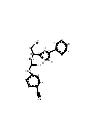 N#Cc1ccc(NC(=O)NC(CO)c2nc(-c3ccccc3)no2)cc1